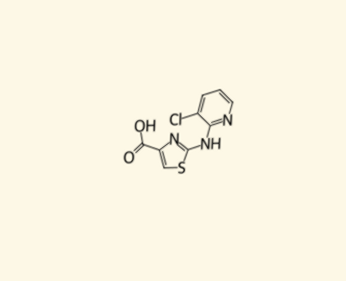 O=C(O)c1csc(Nc2ncccc2Cl)n1